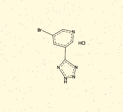 Brc1cncc(-c2nn[nH]n2)c1.Cl